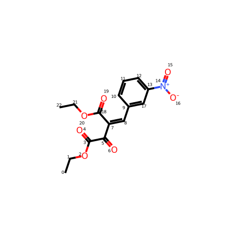 CCOC(=O)C(=O)C(=Cc1cccc([N+](=O)[O-])c1)C(=O)OCC